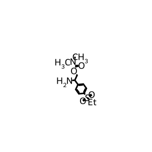 CCS(=O)(=O)c1ccc(C(N)COC(=O)N(C)C)cc1